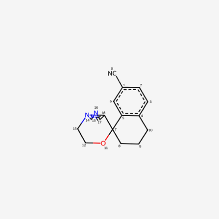 N#Cc1ccc2c(c1)C1(CCC2)OCCn2cncc21